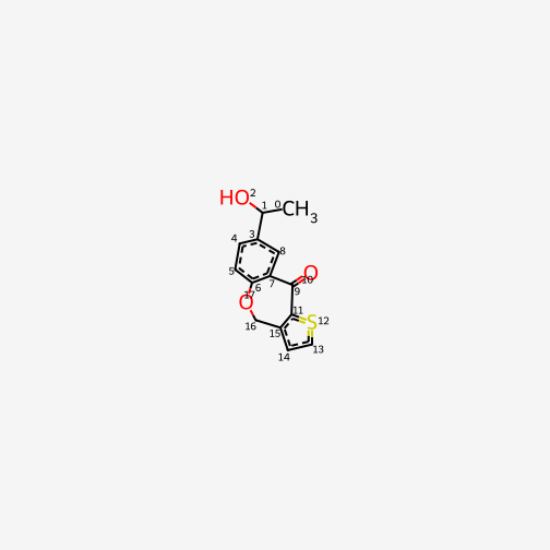 CC(O)c1ccc2c(c1)C(=O)c1sccc1CO2